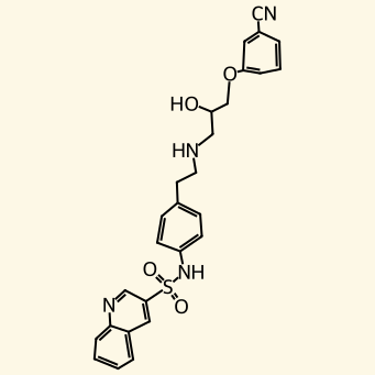 N#Cc1cccc(OCC(O)CNCCc2ccc(NS(=O)(=O)c3cnc4ccccc4c3)cc2)c1